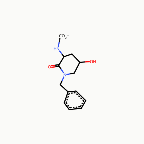 O=C(O)NC1CC(O)CN(Cc2ccccc2)C1=O